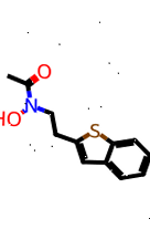 CC(=O)N(O)CCc1cc2ccccc2s1